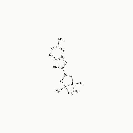 CC1(C)OB(c2cc3cc(N)cnc3[nH]2)OC1(C)C